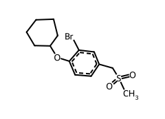 CS(=O)(=O)Cc1ccc(OC2CCCCC2)c(Br)c1